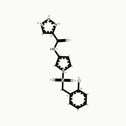 O=C(Nc1ccn(S(=O)(=O)Cc2ccccc2Cl)c1)c1csnn1